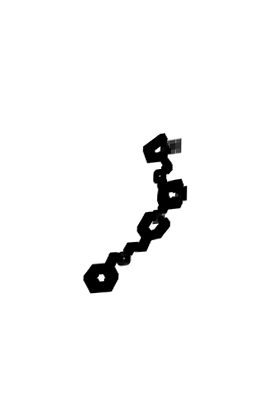 c1ccc(COCCC2CCN(c3cncc(OC[C@H]4CCCN4)c3)CC2)cc1